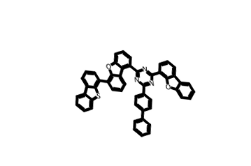 c1ccc(-c2ccc(-c3nc(-c4cccc5c4oc4ccccc45)nc(-c4cccc5oc6c(-c7cccc8c7sc7ccccc78)cccc6c45)n3)cc2)cc1